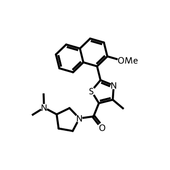 COc1ccc2ccccc2c1-c1nc(C)c(C(=O)N2CCC(N(C)C)C2)s1